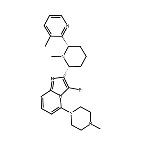 CCc1c([C@H]2CCC[C@@H](c3ncccc3C)N2C)nc2cccc(N3CCN(C)CC3)n12